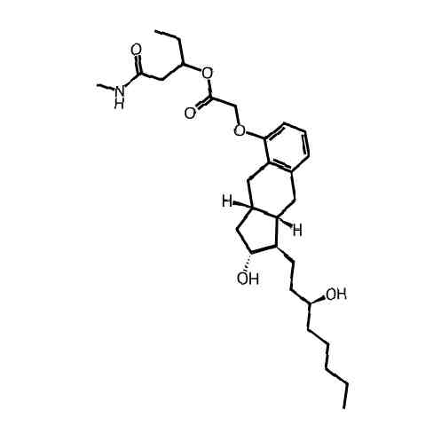 CCCCC[C@H](O)CC[C@@H]1[C@H]2Cc3cccc(OCC(=O)OC(CC)CC(=O)NC)c3C[C@H]2C[C@H]1O